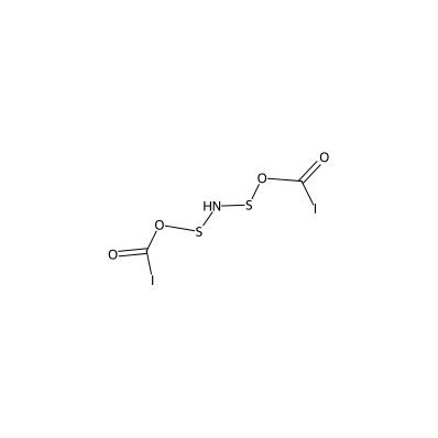 O=C(I)OSNSOC(=O)I